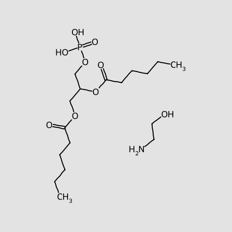 CCCCCC(=O)OCC(COP(=O)(O)O)OC(=O)CCCCC.NCCO